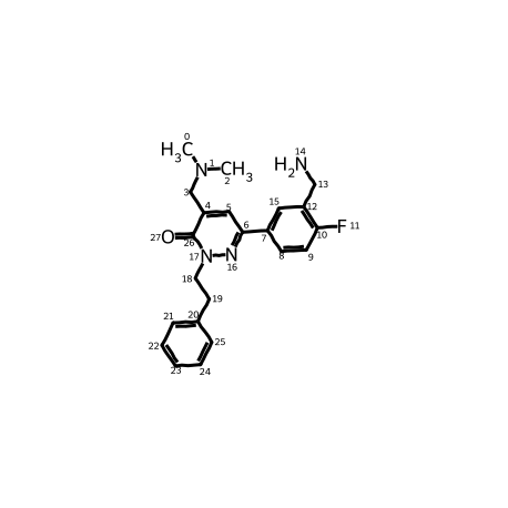 CN(C)Cc1cc(-c2ccc(F)c(CN)c2)nn(CCc2ccccc2)c1=O